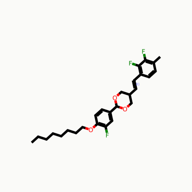 CCCCCCCCOc1ccc(C2OCC(/C=C/c3ccc(C)c(F)c3F)CO2)cc1F